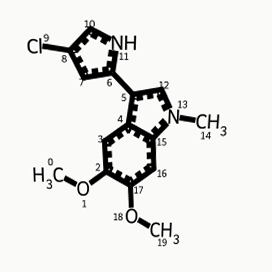 COc1cc2c(-c3cc(Cl)c[nH]3)cn(C)c2cc1OC